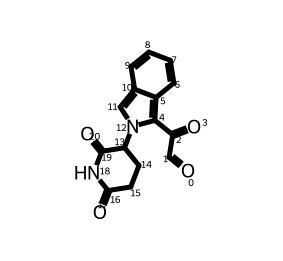 O=CC(=O)c1c2ccccc2cn1C1CCC(=O)NC1=O